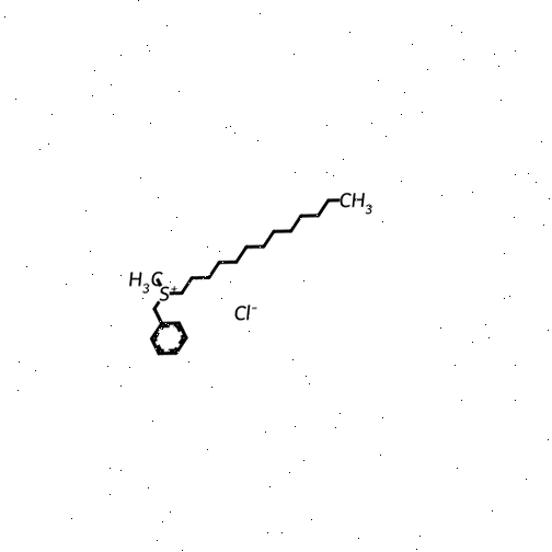 CCCCCCCCCCCCC[S+](C)Cc1ccccc1.[Cl-]